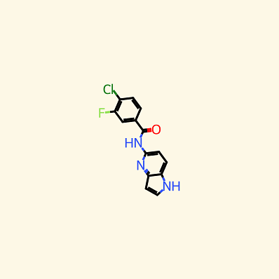 O=C(Nc1ccc2[nH]ccc2n1)c1ccc(Cl)c(F)c1